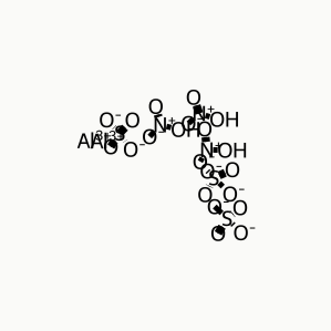 O=S(=O)([O-])[O-].O=S(=O)([O-])[O-].O=S(=O)([O-])[O-].O=[N+]([O-])O.O=[N+]([O-])O.O=[N+]([O-])O.[Al+3].[Al+3]